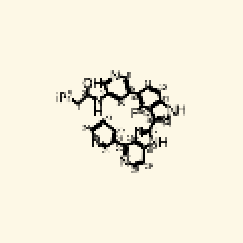 CC(C)CC(O)Nc1cncc(-c2ccc3[nH]nc(-c4nc5c(-c6cccnc6)nccc5[nH]4)c3c2F)c1